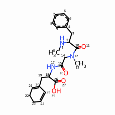 CNC(Cc1ccccc1)C(=O)N(C)CC(=O)NC(CC1=CCCC=C1)C(=O)O